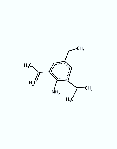 C=C(C)c1cc(CC)cc(C(=C)C)c1N